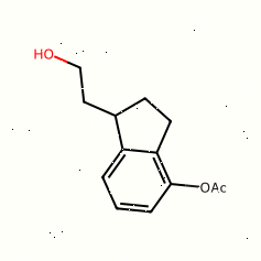 CC(=O)Oc1cccc2c1CCC2CCO